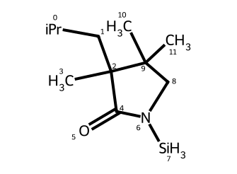 CC(C)CC1(C)C(=O)N([SiH3])CC1(C)C